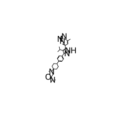 Cc1cc(-c2[nH]nc(-c3ccc(C4CCC(N(C)CC(=O)N(C)C)CC4)cc3)c2C(C)C)cn2ncnc12